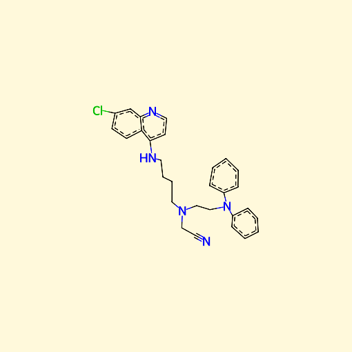 N#CCN(CCCCNc1ccnc2cc(Cl)ccc12)CCN(c1ccccc1)c1ccccc1